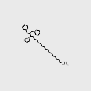 CCCCCCCCCCCCCCCCCC(C(Cc1ccccc1)Cc1ccccc1)n1ccnc1